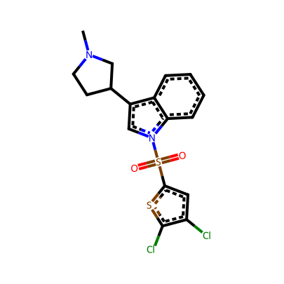 CN1CCC(c2cn(S(=O)(=O)c3cc(Cl)c(Cl)s3)c3ccccc23)C1